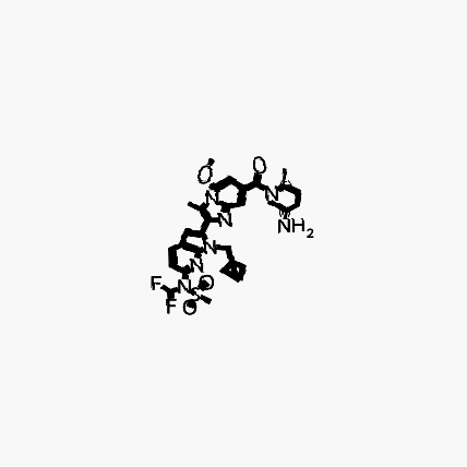 COc1cc(C(=O)N2C[C@H](N)CC[C@@H]2C)cc2nc(-c3cc4ccc(N(C(F)F)S(C)(=O)=O)nc4n3CC34CC(C3)C4)c(C)n12